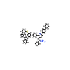 C=C(CC(N)c1ccccc1)/C(=N\C(=C)c1ccc(-c2ccccc2)cc1)c1ccc(-c2ccc3c(c2)Sc2ccccc2C32c3ccccc3-c3c2ccc2ccccc32)cc1